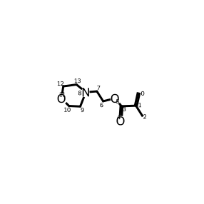 C=C(C)C(=O)OCCN1CCOCC1